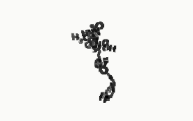 Cc1c(Nc2nc3ccccc3s2)nnc2c1CCCN2c1nc(C(=O)O)c(CCCOc2ccc(C#CCN3CCC(F)(F)CC3)cc2F)s1